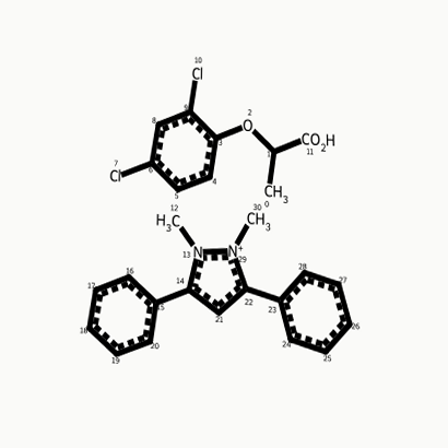 CC(Oc1ccc(Cl)cc1Cl)C(=O)O.Cn1c(-c2ccccc2)cc(-c2ccccc2)[n+]1C